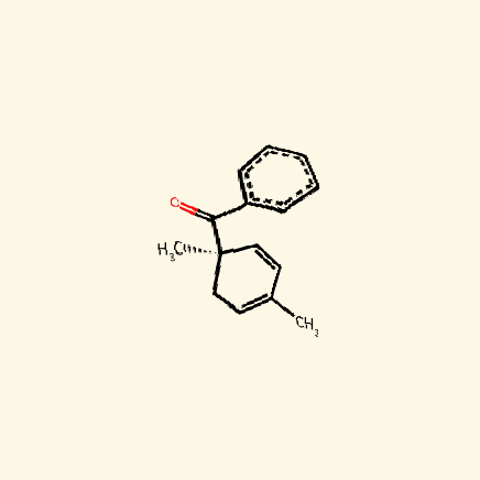 CC1=CC[C@@](C)(C(=O)c2ccccc2)C=C1